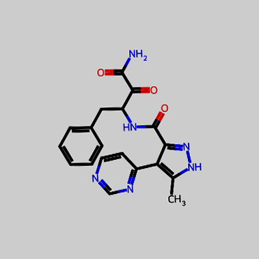 Cc1[nH]nc(C(=O)NC(Cc2ccccc2)C(=O)C(N)=O)c1-c1ccncn1